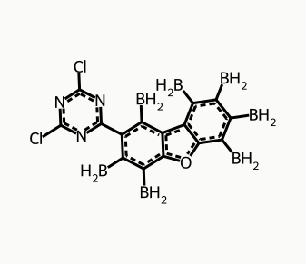 Bc1c(B)c(B)c2c(oc3c(B)c(B)c(-c4nc(Cl)nc(Cl)n4)c(B)c32)c1B